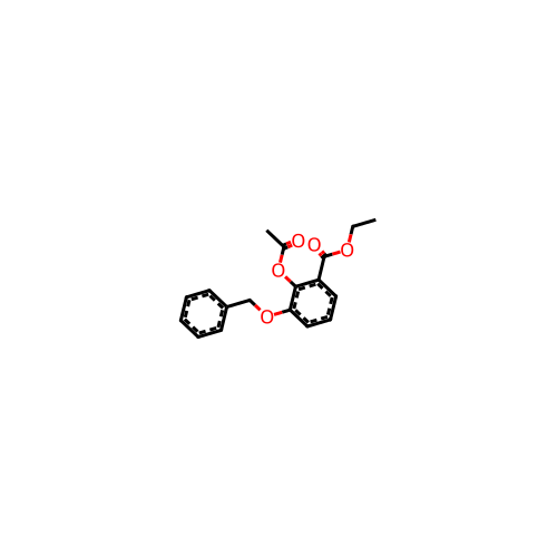 CCOC(=O)c1cccc(OCc2ccccc2)c1OC(C)=O